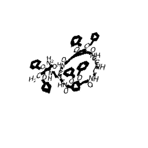 C=C(OCc1ccccc1)/C(OCc1ccccc1)=C(\NCCN1CCNC(=O)c2ccc(c(OCc3ccccc3)c2OCc2ccccc2)C(=O)NCCNCCNC(=O)c2ccc(c(OCc3ccccc3)c2OCc2ccccc2)C(=O)NCC1)C(N)=O